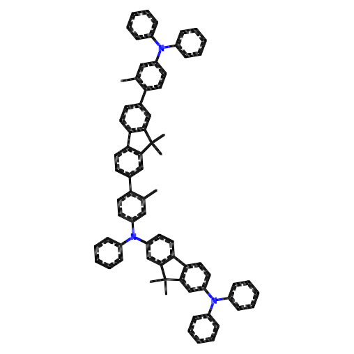 Cc1cc(N(c2ccccc2)c2ccccc2)ccc1-c1ccc2c(c1)C(C)(C)c1cc(-c3ccc(N(c4ccccc4)c4ccc5c(c4)C(C)(C)c4cc(N(c6ccccc6)c6ccccc6)ccc4-5)cc3C)ccc1-2